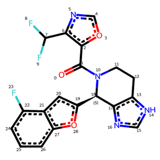 O=C(c1ocnc1C(F)F)N1CCc2[nH]cnc2[C@H]1c1cc2c(F)cccc2o1